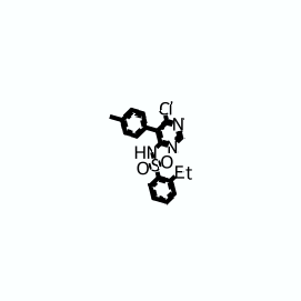 CCc1ccccc1S(=O)(=O)Nc1ncnc(Cl)c1-c1ccc(C)cc1